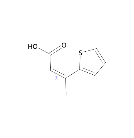 C/C(=C/C(=O)O)c1cccs1